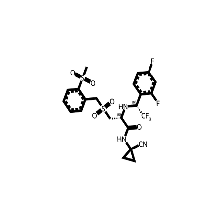 CS(=O)(=O)c1ccccc1CS(=O)(=O)C[C@H](N[C@H](c1ccc(F)cc1F)C(F)(F)F)C(=O)NC1(C#N)CC1